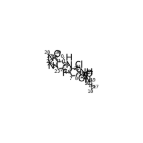 Cc1c(Nc2c(F)ccc(NS(=O)(=O)N3CC4(CC4)C3)c2Cl)ccc2ncn(C)c(=O)c12